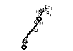 CC(C)NC[C@@H](O)COc1ccc(NC(=O)CCCCCCCCCCN2CCN(c3ccccc3)CC2)cc1.Cl